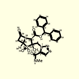 CNC(=O)c1cnnn1C[C@@]1(C)[C@H](C(=O)OC(c2ccccc2)c2ccccc2)N2C(=O)C[C@H]2S1(=O)=O